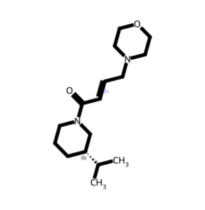 CC(C)[C@@H]1CCCN(C(=O)/C=C/CN2CCOCC2)C1